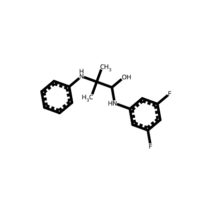 CC(C)(Nc1ccccc1)C(O)Nc1cc(F)cc(F)c1